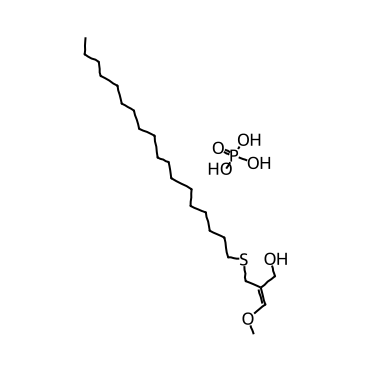 CCCCCCCCCCCCCCCCCCSC/C(=C\OC)CO.O=P(O)(O)O